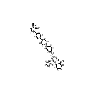 CCC(C)n1ncn(-c2ccc(N3CCN(c4ccc(OC[C@@H]5CO[C@@](Cn6nccn6)(c6ccccc6C#N)O5)cc4)CC3)cc2)c1=O